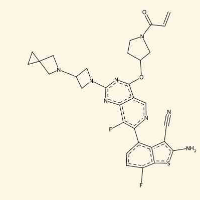 C=CC(=O)N1CCC(Oc2nc(N3CC(N4CC5(CC5)C4)C3)nc3c(F)c(-c4ccc(F)c5sc(N)c(C#N)c45)ncc23)C1